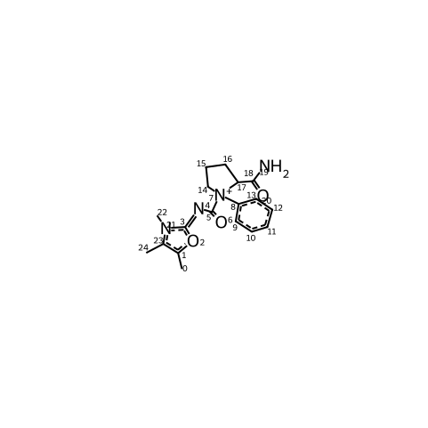 Cc1oc(=NC(=O)[N+]2(c3ccccc3)CCCC2C(N)=O)n(C)c1C